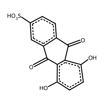 O=C1c2ccc(S(=O)(=O)O)cc2C(=O)c2c(O)ccc(O)c21